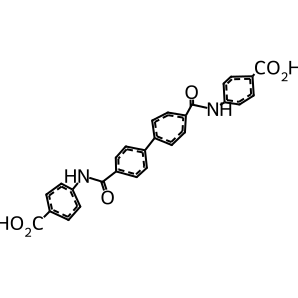 O=C(O)c1ccc(NC(=O)c2ccc(-c3ccc(C(=O)Nc4ccc(C(=O)O)cc4)cc3)cc2)cc1